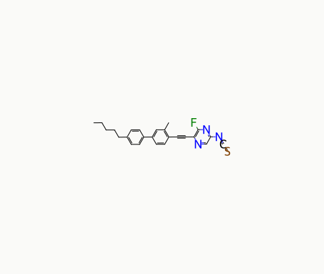 CCCCCc1ccc(-c2ccc(C#Cc3ncc(N=C=S)nc3F)c(C)c2)cc1